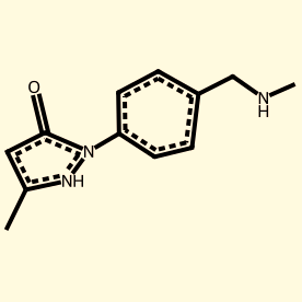 CNCc1ccc(-n2[nH]c(C)cc2=O)cc1